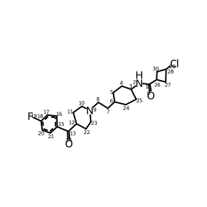 O=C(NC1CCC(CCN2CCC(C(=O)c3ccc(F)cc3)CC2)CC1)C1CC(Cl)C1